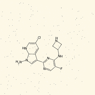 NN1C=C(c2ncc(F)c(NC3CNC3)n2)C2=CC(Cl)=CNC21